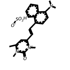 Cc1cc(C=Cc2ccc(N(C)C)c3ccccc23)[n+](C)c(=O)n1C.O=S(=O)([O-])O